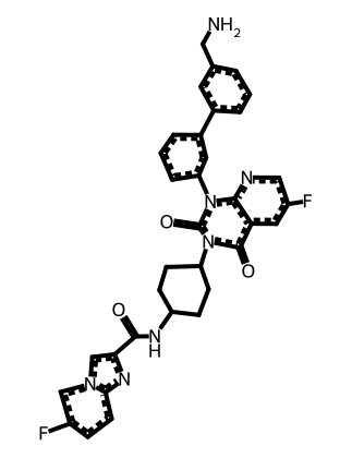 NCc1cccc(-c2cccc(-n3c(=O)n(C4CCC(NC(=O)c5cn6cc(F)ccc6n5)CC4)c(=O)c4cc(F)cnc43)c2)c1